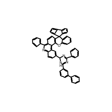 c1ccc(C2=NC(c3ccc4nc(-c5ccccc5)c5ccc6c(c5c4c3)Oc3ccccc3C63c4ccccc4-c4ccccc43)NC(c3cccc(-c4ccccc4)c3)=N2)cc1